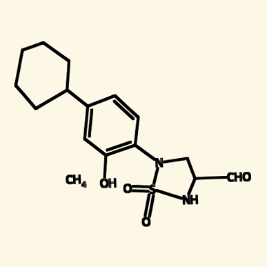 C.O=CC1CN(c2ccc(C3CCCCC3)cc2O)S(=O)(=O)N1